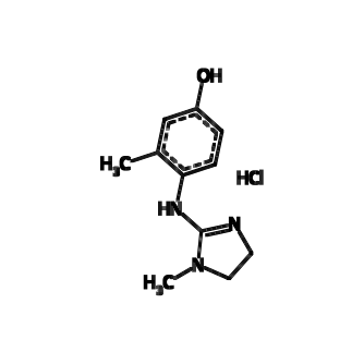 Cc1cc(O)ccc1NC1=NCCN1C.Cl